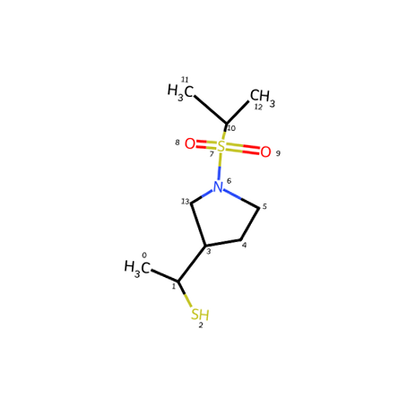 CC(S)C1CCN(S(=O)(=O)C(C)C)C1